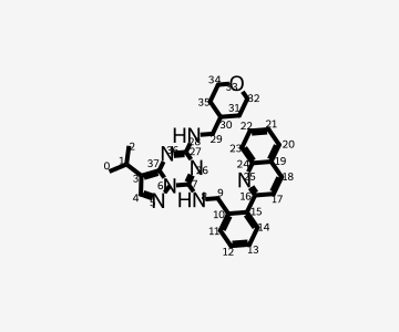 CC(C)c1cnn2c(NCc3ccccc3-c3ccc4ccccc4n3)nc(NCC3CCOCC3)nc12